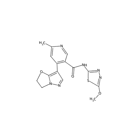 COc1nnc(NC(=O)c2cnc(C)cc2-c2cnn3c2OCC3)s1